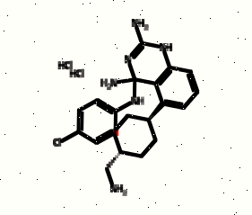 Cl.Cl.NC[C@H]1CC[C@H](c2cccc3c2C(N)(Nc2ccc(Cl)cc2)N=C(N)N3)CC1